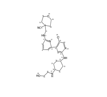 N#CC1(CNc2cccc(-c3cc(NC4CCC(NCCO)CC4)ncc3Cl)n2)CCOCC1